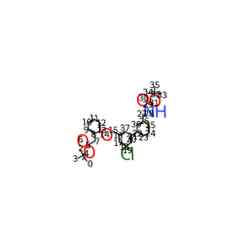 CC(C)(C)OC(=O)Cc1ccccc1OCc1cc(Cl)cc(-c2cccc(CNC(=O)OC(C)(C)C)c2)c1